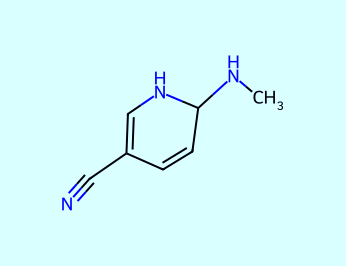 CNC1C=CC(C#N)=CN1